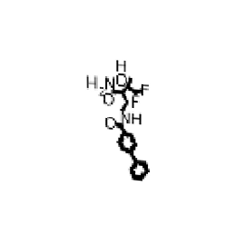 CC(O)(C(F)F)C(CCNC(=O)c1ccc(-c2ccccc2)cc1)C(N)=O